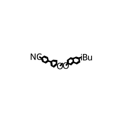 CCC(C)c1ccc2cc(OCOc3ccc(-c4ccc(C#N)cc4)cc3)ccc2c1